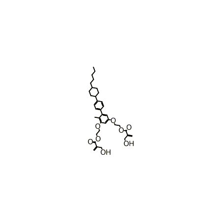 C=C(CO)C(=O)OCCOc1cc(OCCOC(=O)C(=C)CO)c(C)c(-c2ccc(C3CCC(CCCCC)CC3)cc2)c1